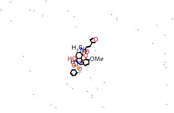 COc1ccc2c3c1O[C@H]1[C@H](N(C)C(=O)/C=C/c4ccoc4)CC[C@@]4(O)[C@@H](C2)N(S(=O)(=O)c2ccccc2F)CC[C@]314